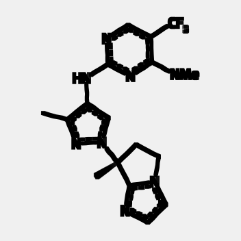 CNc1nc(Nc2cn([C@]3(C)CCn4ccnc43)nc2C)ncc1C(F)(F)F